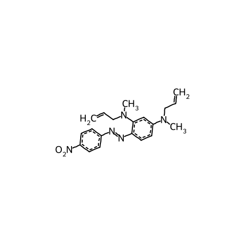 C=CCN(C)c1ccc(N=Nc2ccc([N+](=O)[O-])cc2)c(N(C)CC=C)c1